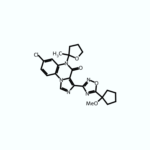 COC1(c2nc(-c3ncn4c3c(=O)n(C3(C)CCCO3)c3cc(Cl)ccc34)no2)CCCC1